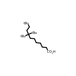 CC(C)(C)CCC(CCCCCCC(=O)O)(C(C)(C)C)C(C)(C)C